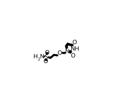 NS(=O)(=O)CCCOCn1ccc(=O)[nH]c1=O